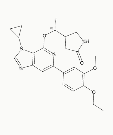 CCOc1ccc(-c2cc3ncn(C4CC4)c3c(O[C@H](C)C3CNC(=O)C3)n2)cc1OC